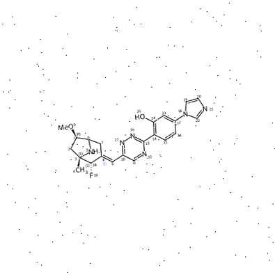 CO[C@@H]1C[C@]2(C)NC1C/C(=C\c1cnc(-c3ccc(-n4ccnc4)cc3O)nn1)[C@@H]2F